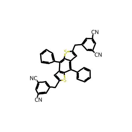 N#Cc1cc(C#N)cc(Cc2cc3c(-c4ccccc4)c4sc(Cc5cc(C#N)cc(C#N)c5)cc4c(-c4ccccc4)c3s2)c1